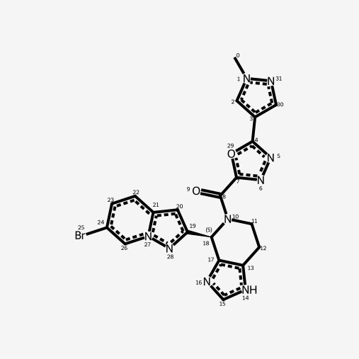 Cn1cc(-c2nnc(C(=O)N3CCc4[nH]cnc4[C@H]3c3cc4ccc(Br)cn4n3)o2)cn1